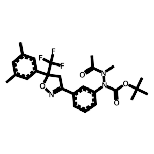 CC(=O)N(C)N(C(=O)OC(C)(C)C)c1cccc(C2=NOC(c3cc(C)cc(C)c3)(C(F)(F)F)C2)c1